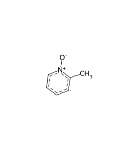 Cc1[c]ccc[n+]1[O-]